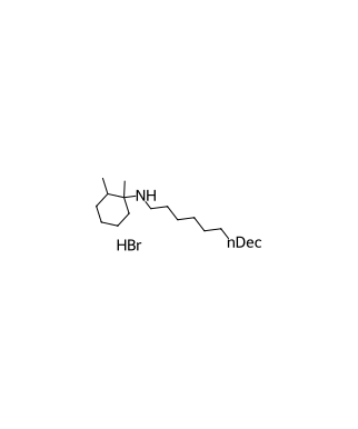 Br.CCCCCCCCCCCCCCCCNC1(C)CCCCC1C